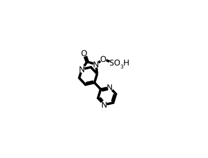 O=C1N2CC=C(c3cnccn3)C(C2)N1OS(=O)(=O)O